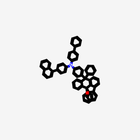 c1ccc(-c2ccc(N(c3ccc(-c4cccc5ccccc45)cc3)c3ccc(C4(c5ccccc5)c5ccccc5C5(c6ccccc6)c6ccccc6-c6cccc4c65)cc3)cc2)cc1